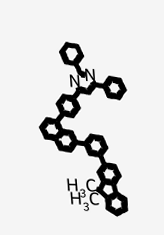 CC1(C)c2ccccc2-c2ccc(-c3cccc(-c4ccc5cccc(-c6ccc(-c7cc(-c8ccccc8)nc(C8=CCCC=C8)n7)cc6)c5c4)c3)cc21